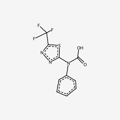 O=C(O)N(c1ccccc1)c1nnc(C(F)(F)F)s1